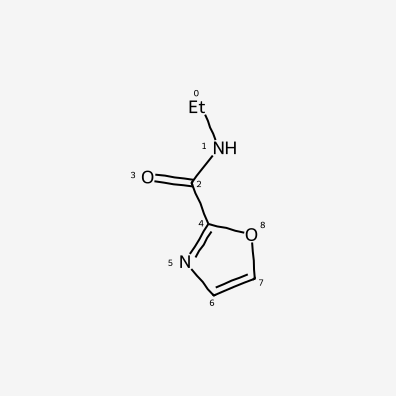 CCNC(=O)c1ncco1